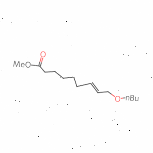 CCCCOCC=CCCCCCC(=O)OC